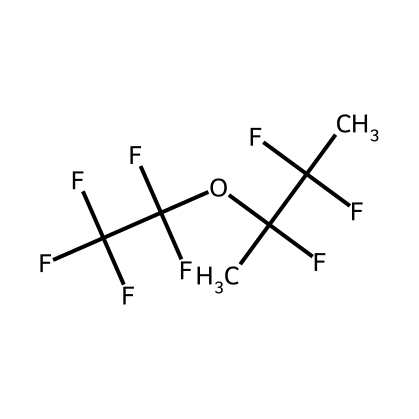 CC(F)(F)C(C)(F)OC(F)(F)C(F)(F)F